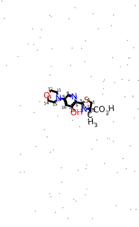 C[C@]1(C(=O)O)CSC(c2ncc(N3CCOCC3)cc2O)=N1